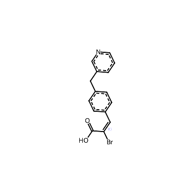 O=C(O)/C(Br)=C\c1ccc(Cc2cccnc2)cc1